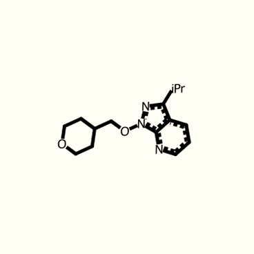 CC(C)c1nn(OCC2CCOCC2)c2ncccc12